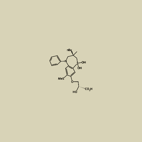 CCCC[C@]1(C)CN(c2ccccc2)c2cc(SC)c(OC[C@@H](O)C(=O)O)cc2S(O)(O)C1